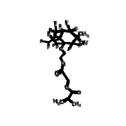 C=C(C)C(=O)OCC(=O)OCCOC12C(F)(F)C(C)(O)C(F)(F)C(F)(C(F)(F)C(F)(C(F)F)C1(F)F)C2(F)F